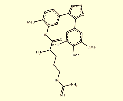 COc1ccc(-c2cnoc2-c2cc(OC)c(OC)c(OC)c2)cc1NC(=O)C(N)CCCNC(=N)N